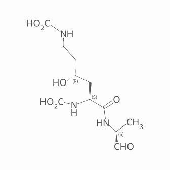 C[C@@H](C=O)NC(=O)[C@H](C[C@H](O)CCNC(=O)O)NC(=O)O